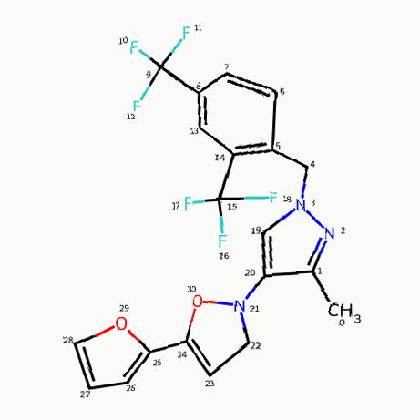 Cc1nn(Cc2ccc(C(F)(F)F)cc2C(F)(F)F)cc1N1CC=C(c2ccco2)O1